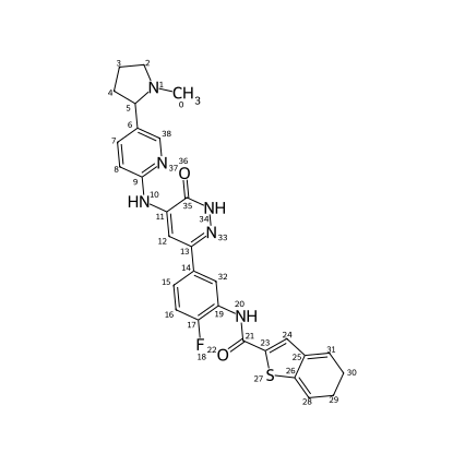 CN1CCCC1c1ccc(Nc2cc(-c3ccc(F)c(NC(=O)c4cc5c(s4)=CCCC=5)c3)n[nH]c2=O)nc1